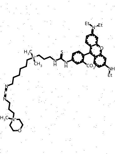 CCNc1ccc2c(-c3ccc(NC(=S)NCCC[N+](C)(C)CCCCCCN=C=NCCC[N+]4(C)CCOCC4)cc3C(=O)O)c3ccc(=[N+](CC)CC)cc-3oc2c1